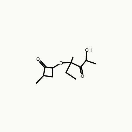 CCC(C)(OC1CC(C)C1=O)C(=O)C(C)O